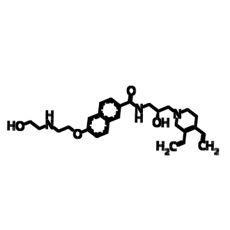 C=CC1=C(C=C)CN(C[C@@H](O)CNC(=O)c2ccc3cc(OCCNCCO)ccc3c2)CC1